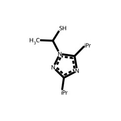 CC(C)c1nc(C(C)C)n(C(C)S)n1